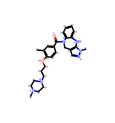 Cc1cc(C(=O)N2Cc3cnn(C)c3Nc3ccccc32)ccc1OCCCN1CCN(C)CC1